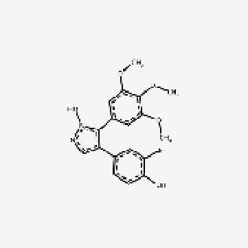 COc1cc(-c2c(-c3ccc(O)c(Br)c3)cnn2O)cc(OC)c1OC